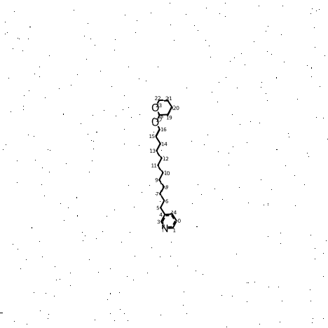 c1cncc(CCCCCCCCCCCCOC2CCCCO2)c1